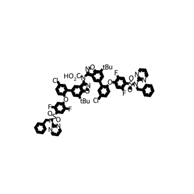 CC(C)(C)c1cc(-c2cc(Cl)ccc2Oc2cc(F)c(S(=O)(=O)N(Cc3ccccc3)c3ncccn3)cc2F)cc2c(N(C(=O)O)c3noc4c(C(C)(C)C)cc(-c5cc(Cl)ccc5Oc5cc(F)c(S(=O)(=O)N(Cc6ccccc6)c6ncccn6)cc5F)cc34)noc12